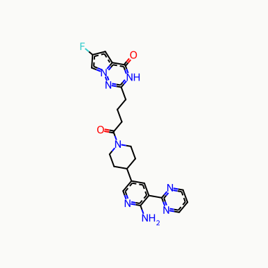 Nc1ncc(C2CCN(C(=O)CCCc3nn4cc(F)cc4c(=O)[nH]3)CC2)cc1-c1ncccn1